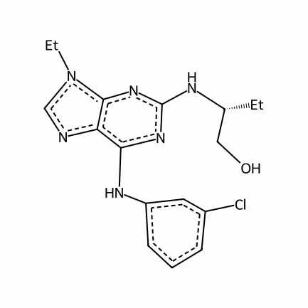 CC[C@H](CO)Nc1nc(Nc2cccc(Cl)c2)c2ncn(CC)c2n1